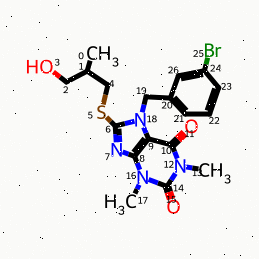 CC(CO)CSc1nc2c(c(=O)n(C)c(=O)n2C)n1Cc1cccc(Br)c1